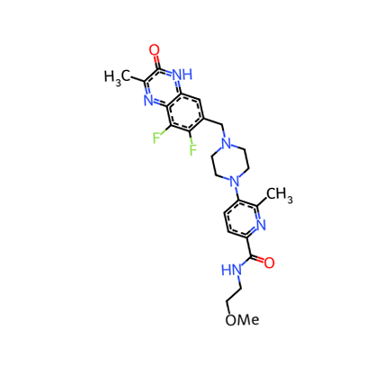 COCCNC(=O)c1ccc(N2CCN(Cc3cc4[nH]c(=O)c(C)nc4c(F)c3F)CC2)c(C)n1